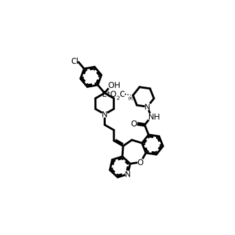 CCOC(=O)[C@@H]1CCCN(NC(=O)c2cccc3c2CC(=CCCN2CCC(O)(c4ccc(Cl)cc4)CC2)c2cccnc2O3)C1